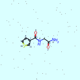 NC(=O)CNC(=O)c1ccsc1